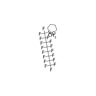 C[Si]1(C(F)(F)C(F)(F)C(F)(F)C(F)(F)C(F)(F)C(F)(F)C(F)(F)C(F)(F)F)CCCCO1